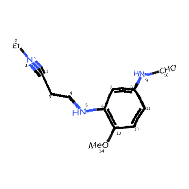 CC[N+]#CCCNc1cc(NC=O)ccc1OC